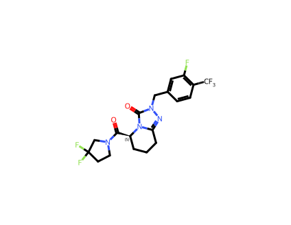 O=C([C@@H]1CCCc2nn(Cc3ccc(C(F)(F)F)c(F)c3)c(=O)n21)N1CCC(F)(F)C1